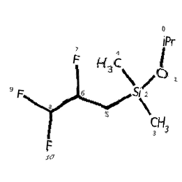 CC(C)O[Si](C)(C)CC(F)C(F)F